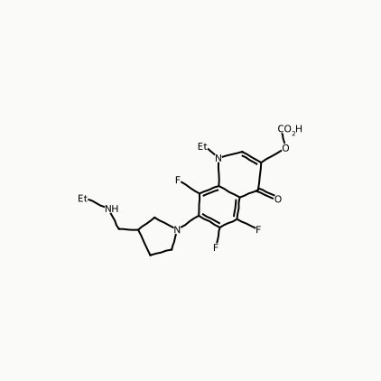 CCNCC1CCN(c2c(F)c(F)c3c(=O)c(OC(=O)O)cn(CC)c3c2F)C1